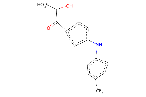 O=C(c1ccc(Nc2ccc(C(F)(F)F)cc2)cc1)C(O)S(=O)(=O)O